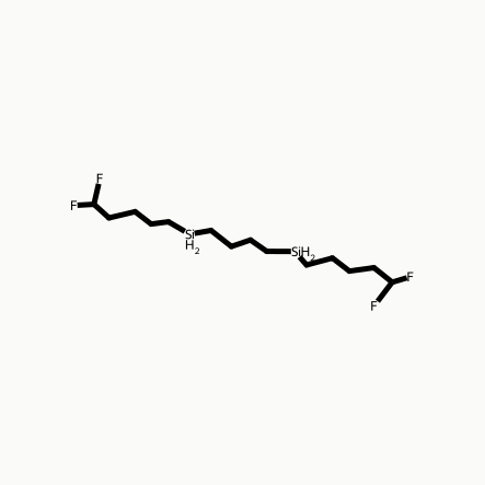 FC(F)CCCC[SiH2]CCCC[SiH2]CCCCC(F)F